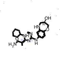 C=N/C(=N\C(NC1CCCCC1)=C(/C)C(N)=O)Nc1ccc2c(c1)NC[C@@H](O)CO2